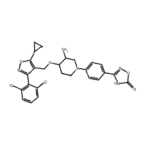 CC1CN(c2ccc(-c3noc(=O)[nH]3)cc2)CCC1OCc1c(-c2c(Cl)cccc2Cl)noc1C1CC1